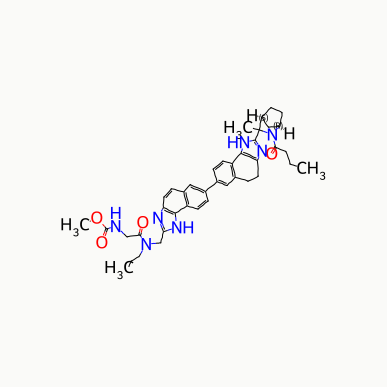 CCCC(=O)N1[C@@H]2CC[C@@H](C2)C1(C)c1nc2c([nH]1)-c1ccc(-c3ccc4c(ccc5nc(CN(CCC)C(=O)CNC(=O)OC)[nH]c54)c3)cc1CC2